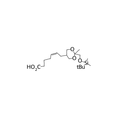 CC1(CO[Si](C)(C)C(C)(C)C)OCC(C/C=C\CCCC(=O)O)CO1